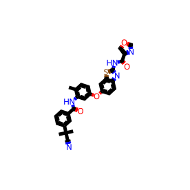 Cc1ccc(Oc2ccc3nc(NC(=O)c4cocn4)sc3c2)cc1NC(=O)c1cccc(C(C)(C)C#N)c1